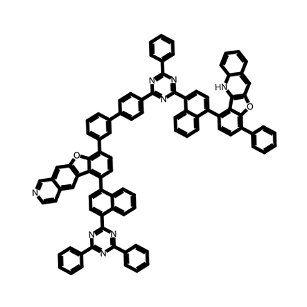 C1=CC2=Cc3oc4c(-c5ccccc5)ccc(-c5ccc(-c6nc(-c7ccccc7)nc(-c7ccc(-c8cccc(-c9ccc(-c%10ccc(-c%11nc(-c%12ccccc%12)nc(-c%12ccccc%12)n%11)c%11ccccc%10%11)c%10c9oc9cc%11cnccc%11cc9%10)c8)cc7)n6)c6ccccc56)c4c3NC2C=C1